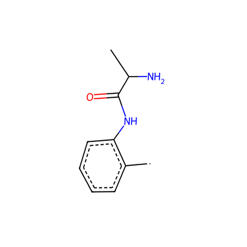 [CH2]c1ccccc1NC(=O)C(C)N